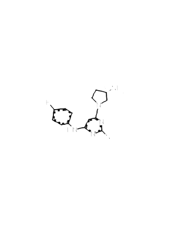 Nc1nc(Nc2ccc(F)cc2)cc(N2CC[C@@H](N)C2)n1